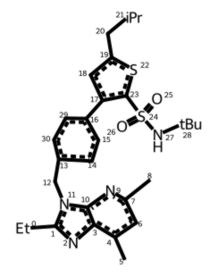 CCc1nc2c(C)cc(C)nc2n1Cc1ccc(-c2cc(CC(C)C)sc2S(=O)(=O)NC(C)(C)C)cc1